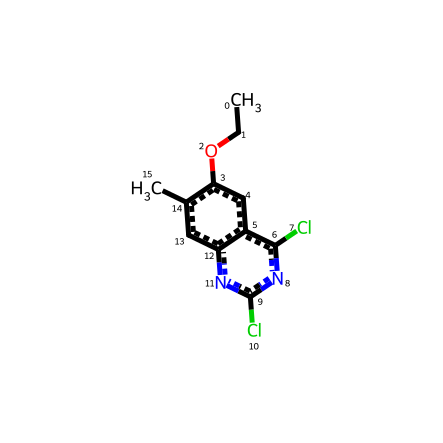 CCOc1cc2c(Cl)nc(Cl)nc2cc1C